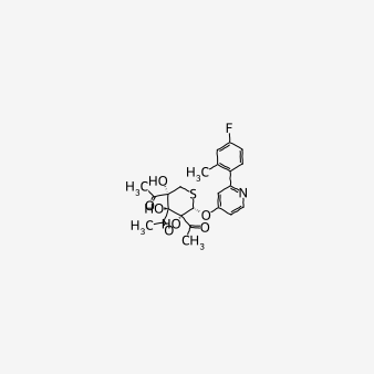 CC(=O)[C@]1(O)[C@@](O)(C(C)=O)CS[C@H](Oc2ccnc(-c3ccc(F)cc3C)c2)[C@@]1(O)C(C)=O